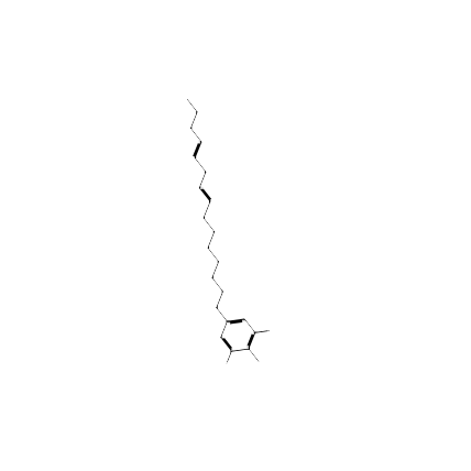 CCCC=CCC=CCCCCCCCc1cc(O)c(C)c(O)c1